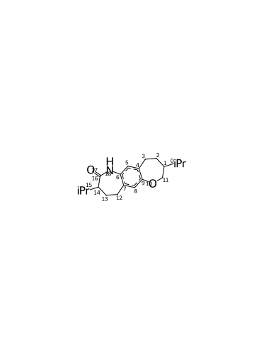 CC(C)C1CCc2cc3c(cc2OC1)CCC(C(C)C)C(=O)N3